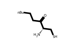 CCCCCCC(=O)[C@@H](N)CS